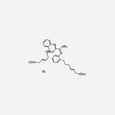 CCCCCCCCCCC/C=C/CCCc1ccccc1/N=C(CCCC)\C(CCCCC)=N\c1ccccc1CCC/C=C/CCCCCCCCCCC.[Ni]